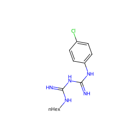 CCCCCCNC(=N)NC(=N)Nc1ccc(Cl)cc1